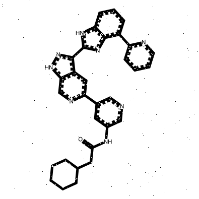 O=C(CC1CCCCC1)Nc1cncc(-c2cc3c(-c4nc5c(-c6ccccn6)cccc5[nH]4)n[nH]c3cn2)c1